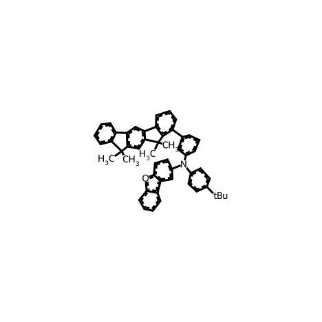 CC(C)(C)c1ccc(N(c2cccc(-c3cccc4c3C(C)(C)c3cc5c(cc3-4)-c3ccccc3C5(C)C)c2)c2ccc3oc4ccccc4c3c2)cc1